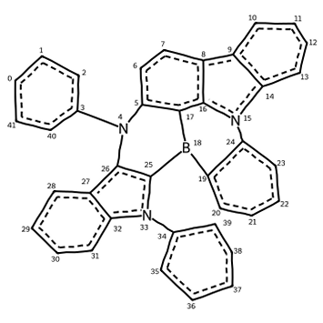 c1ccc(N2c3ccc4c5ccccc5n5c4c3B(c3ccccc3-5)c3c2c2ccccc2n3-c2ccccc2)cc1